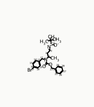 CC(CC=N[S+]([O-])C(C)(C)C)N(Cc1ccc(Br)cc1)C(=O)OCc1ccccc1